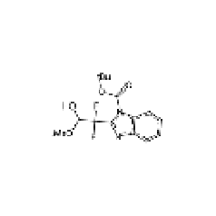 COC(O)C(F)(F)c1nc2ccccc2n1C(=O)OC(C)(C)C